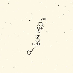 Cc1cc(CO)cc(C)c1NC(=O)N1CCN(c2ccc(NC(=O)CCCc3ccccc3)cc2)CC1